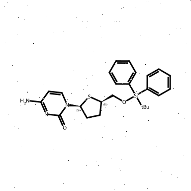 CC(C)(C)[Si](OC[C@H]1CC[C@@H](n2ccc(N)nc2=O)S1)(c1ccccc1)c1ccccc1